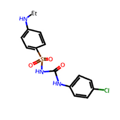 CCNc1ccc(S(=O)(=O)NC(=O)Nc2ccc(Cl)cc2)cc1